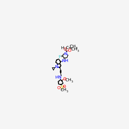 COc1cc(S(C)(=O)=O)ccc1NCC#Cc1cc2c(N[C@H]3CCN(C(=O)OC(C)(C)C)C[C@H]3F)cccc2n1C1CC1